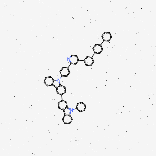 C1=C=C(n2c3ccccc3c3cc(-c4ccc5c6ccccc6n(-c6ccccc6)c5c4)ccc32)C=CC=1c1cc(-c2cccc(-c3ccc(-c4ccccc4)cc3)c2)ccn1